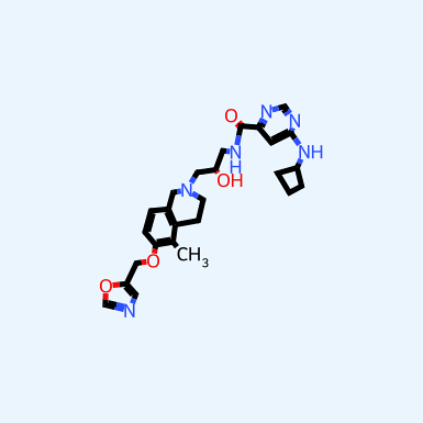 Cc1c(OCc2cnco2)ccc2c1CCN(CC(O)CNC(=O)c1cc(NC3CCC3)ncn1)C2